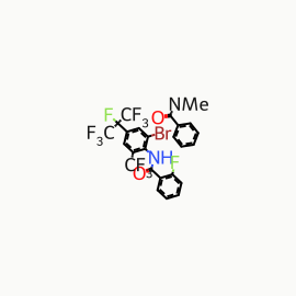 CNC(=O)c1ccccc1.O=C(Nc1c(Br)cc(C(F)(C(F)(F)F)C(F)(F)F)cc1C(F)(F)F)c1ccccc1F